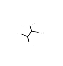 O=C(O)C(O)C(O)C(=O)O.[SnH2]